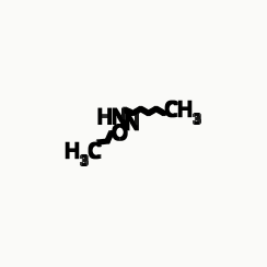 CCCCCc1c[nH]c(OCCCC)n1